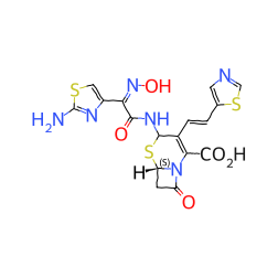 Nc1nc(C(=NO)C(=O)NC2S[C@H]3CC(=O)N3C(C(=O)O)=C2C=Cc2cncs2)cs1